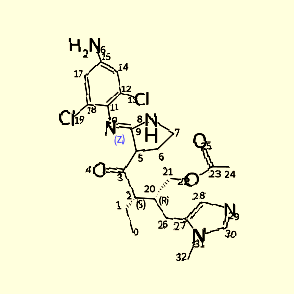 CC[C@H](C(=O)C1CCN/C1=N\c1c(Cl)cc(N)cc1Cl)[C@H](COC(C)=O)Cc1cncn1C